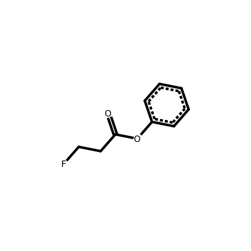 O=C(CCF)Oc1ccccc1